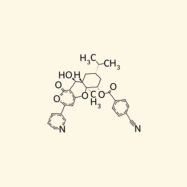 CC(C)[C@@H]1C[C@H](OC(=O)c2ccc(C#N)cc2)[C@@]2(C)Oc3cc(-c4cccnc4)oc(=O)c3[C@@H](O)[C@@H]2C1